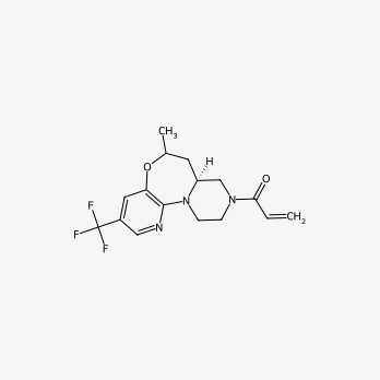 C=CC(=O)N1CCN2c3ncc(C(F)(F)F)cc3OC(C)C[C@H]2C1